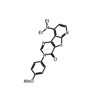 CCN(CC)c1ccnc2sc3c(=O)n(-c4ccc(OC)cc4)cnc3c12